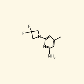 Cc1cc(N)nc(N2CC(F)(F)C2)c1